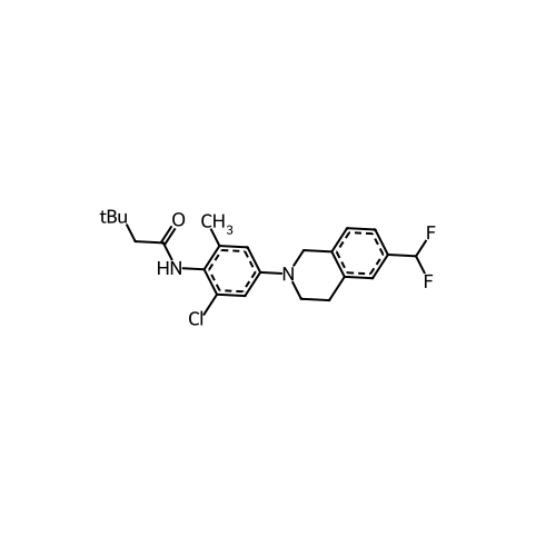 Cc1cc(N2CCc3cc(C(F)F)ccc3C2)cc(Cl)c1NC(=O)CC(C)(C)C